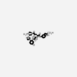 CN1CCN(C(=O)CC[C@H](NC(=O)C(=O)Nc2cc(Cl)ccc2-n2cnnn2)C(=O)Nc2ccc3[nH]c(C(=O)O)cc3c2)CC1